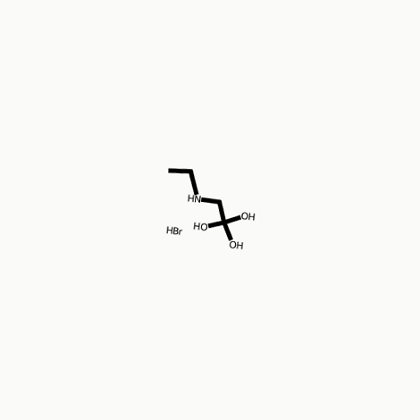 Br.CCNCC(O)(O)O